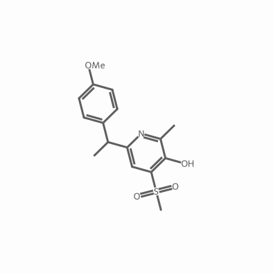 COc1ccc(C(C)c2cc(S(C)(=O)=O)c(O)c(C)n2)cc1